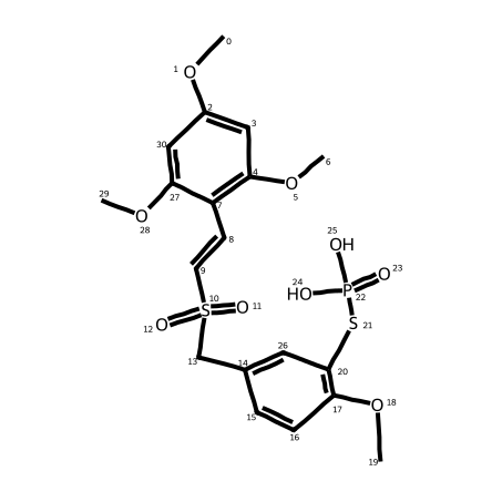 COc1cc(OC)c(/C=C/S(=O)(=O)Cc2ccc(OC)c(SP(=O)(O)O)c2)c(OC)c1